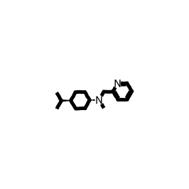 CC(C)[C@H]1CC[C@H](N(C)Cc2ccccn2)CC1